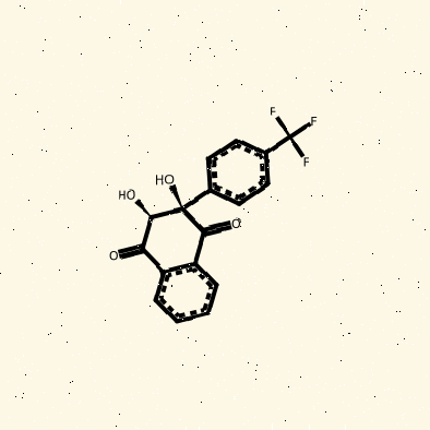 O=C1c2ccccc2C(=O)[C@@](O)(c2ccc(C(F)(F)F)cc2)[C@@H]1O